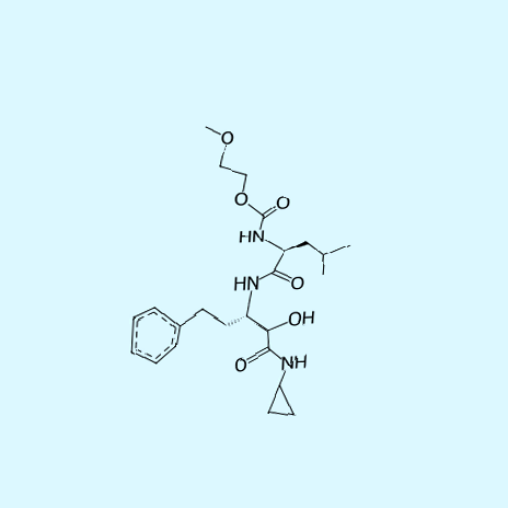 COCCOC(=O)N[C@@H](CC(C)C)C(=O)N[C@@H](CCc1ccccc1)C(O)C(=O)NC1CC1